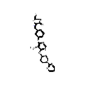 Cc1c(Oc2cccc(/C=C3/SC(=O)NC3=O)c2)ncnc1OC1CCN(c2ncccn2)CC1